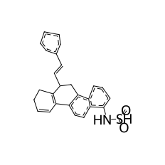 O=[SH](=O)Nc1cccc2c3c(ccc12)C1=C(CCC=C1)C(C=Cc1ccccc1)C3